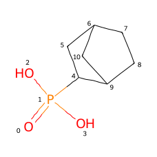 O=P(O)(O)C1CC2CCC1C2